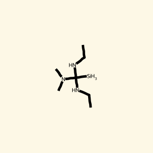 CCNC([SiH3])(NCC)N(C)C